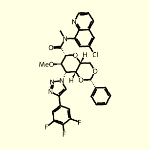 CO[C@@H]1[C@@H](n2cc(-c3cc(F)c(F)c(F)c3)nn2)[C@H]2O[C@@H](c3ccccc3)OC[C@H]2O[C@H]1C(=O)N(C)c1cc(Cl)cc2cccnc12